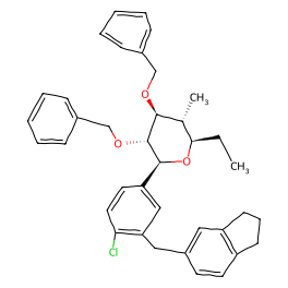 CC[C@H]1O[C@@H](c2ccc(Cl)c(Cc3ccc4c(c3)CCC4)c2)[C@H](OCc2ccccc2)[C@@H](OCc2ccccc2)[C@@H]1C